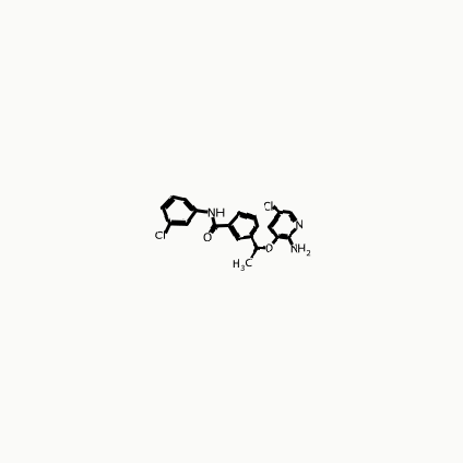 CC(Oc1cc(Cl)cnc1N)c1cccc(C(=O)Nc2cccc(Cl)c2)c1